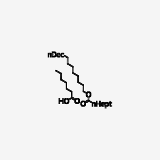 CCCCCCC(=O)O.CCCCCCCCCCCCCCCCCCOC(=O)CCCCCCC